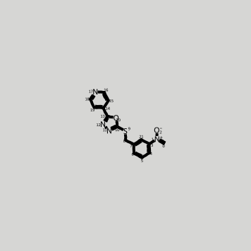 C=[N+]([O-])c1cccc(CSc2nnc(-c3ccncc3)o2)c1